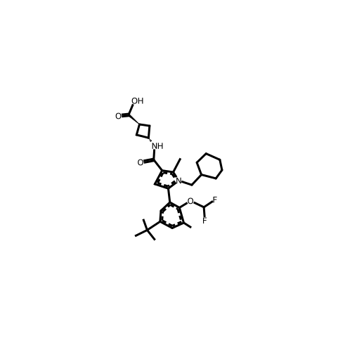 Cc1cc(C(C)(C)C)cc(-c2cc(C(=O)N[C@H]3C[C@H](C(=O)O)C3)c(C)n2CC2CCCCC2)c1OC(F)F